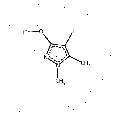 Cc1c(I)c(OC(C)C)nn1C